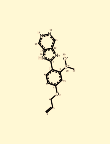 C=CCOc1ccc(-c2nc3cnncc3[nH]2)c([S+](C)[O-])c1